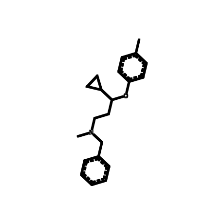 Cc1ccc(OC(CCN(C)Cc2ccccc2)C2CC2)cc1